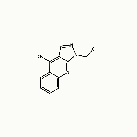 CCn1ncc2c(Cl)c3ccccc3nc21